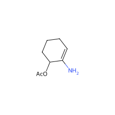 CC(=O)OC1CCCC=C1N